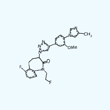 COc1cc(-c2cn(C3CCc4c(F)cccc4N(CCF)C3=O)nn2)ccc1-n1cnc(C)c1